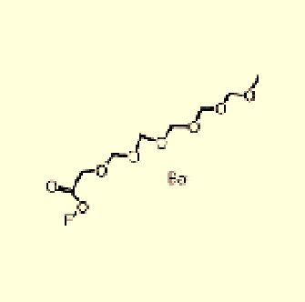 COCOCOCOCOCOCC(=O)OF.[Ba]